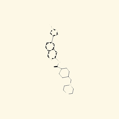 Cn1cc(-c2ccc3cnc(NC(=O)C4CCC(CN5CCOCC5)CC4)cc3c2)cn1